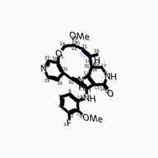 COc1c(F)cccc1Nc1c2[nH]c3c1C(=O)NC[C@@H]3/C(C)=C\[C@@H](OC)COc1cnccc1-2